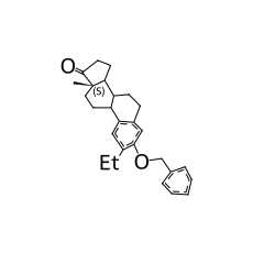 CCc1cc2c(cc1OCc1ccccc1)CCC1C2CC[C@]2(C)C(=O)CCC12